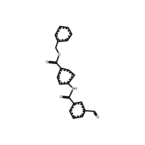 O=Cc1cccc(C(=O)Nc2ccc(C(=O)OCc3ccccc3)cc2)c1